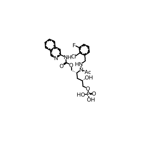 CC(=O)N(NCc1cccc(F)c1Cl)[C@@H](COC(=O)Nc1cc2ccccc2cn1)C[C@H](O)COP(=O)(O)O